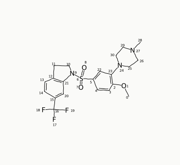 COc1ccc(S(=O)(=O)N2CCc3ccc(C(F)(F)F)cc32)cc1N1CCN(C)CC1